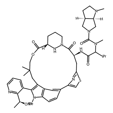 CCn1c(-c2cccnc2[C@H](C)OC)c2c3cc(ccc31)-c1csc(n1)C[C@H](NC(=O)C(C(C)C)N(C)C(=O)N1C[C@H]3CCN(C)[C@H]3C1)C(=O)N1CCC[C@H](N1)C(=O)OCC(C)(C)C2